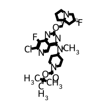 CN(c1nc(OC[C@@]23CCCN2C[C@H](F)C3)nc2c(F)c(Cl)ncc12)C1CCN(C(=O)OC(C)(C)C)CC1